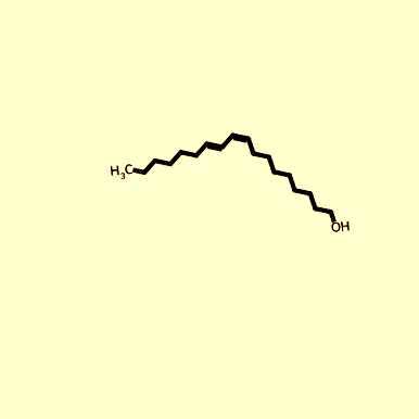 CCCCCC/C=C/C=C\CCCCCCCCO